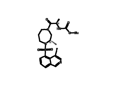 C[C@@H](NC(=O)OC(C)(C)C)C(=O)N1CCCN(S(=O)(=O)c2cccc3cncc(F)c23)[C@@H](C)C1